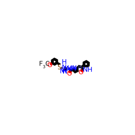 O=C1Nc2ccccc2/C1=C/c1ccc(C(=O)Nc2nnc(SCc3cccc(OC(F)(F)F)c3)[nH]2)[nH]1